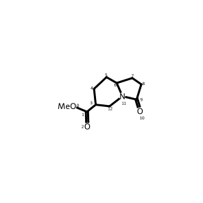 COC(=O)C1CCC2CCC(=O)N2C1